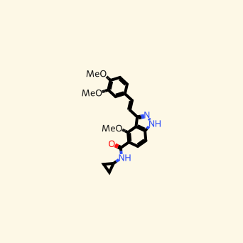 COc1ccc(/C=C/c2n[nH]c3ccc(C(=O)NC4CC4)c(OC)c23)cc1OC